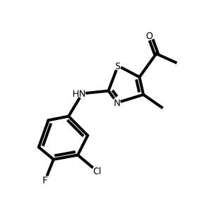 CC(=O)c1sc(Nc2ccc(F)c(Cl)c2)nc1C